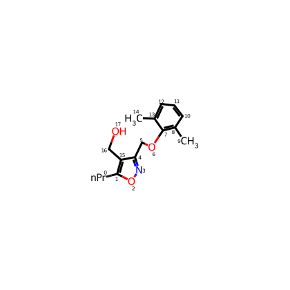 CCCc1onc(COc2c(C)cccc2C)c1CO